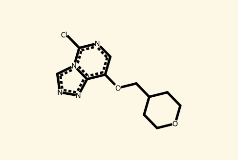 Clc1ncc(OCC2CCOCC2)c2nncn12